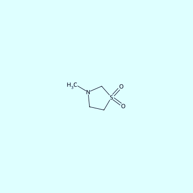 CN1CCS(=O)(=O)C1